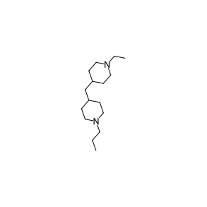 CCCN1CCC(CC2CCN(CC)CC2)CC1